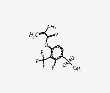 C=C(C)C(=O)Oc1ccc(S(=O)(=O)O)c(F)c1C(F)(F)F